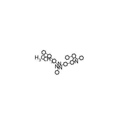 CC1(C)c2ccccc2-c2ccc(-c3ccc(-c4nc(-c5ccccc5)nc(-c5ccc(-c6ccc7nc(-c8ccccc8)c8cccc(-c9ccccc9)c8c7c6)cc5)n4)cc3)cc21